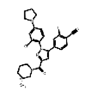 N#Cc1ccc(-c2cc(C(=O)N3CCC[C@@H](N)C3)nn2-c2ccc(N3CCCC3)cc2Cl)cc1F